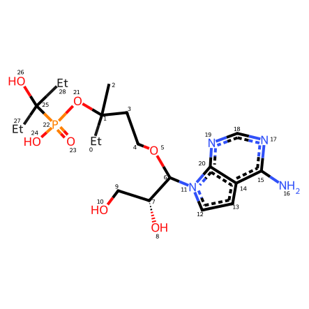 CCC(C)(CCOC([C@H](O)CO)n1ccc2c(N)ncnc21)OP(=O)(O)C(O)(CC)CC